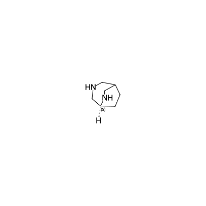 C1C[C@H]2CNCC1CN2